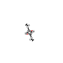 C=C(C)C(=O)OCCC[Si]1(C)O[Si](C)(O[Si](C)(C)C)O[Si](C)(CCCOC(=O)C(=C)C)O[Si](C)(O[Si](C)(C)C)O1